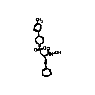 Cc1ccc(C2CCN(S(=O)(=O)CC(C#Cc3ccccc3)C(=O)NO)CC2)cc1